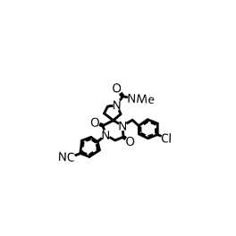 CNC(=O)N1CCC2(C1)C(=O)N(c1ccc(C#N)cc1)CC(=O)N2Cc1ccc(Cl)cc1